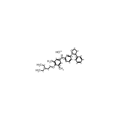 CCN(CC)CCOc1c(C)cc(Nc2nccc(N3OCCC3c3ccccc3)n2)cc1C.Cl